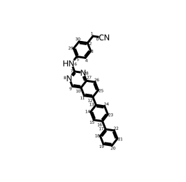 N#CCc1ccc(Nc2ncc3cc(-c4ccc(-c5ccccc5)cc4)ccc3n2)cc1